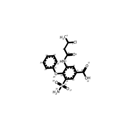 CC(Cl)CC(=O)Nc1cc(C(=O)O)cc(S(N)(=O)=O)c1Oc1ccccc1